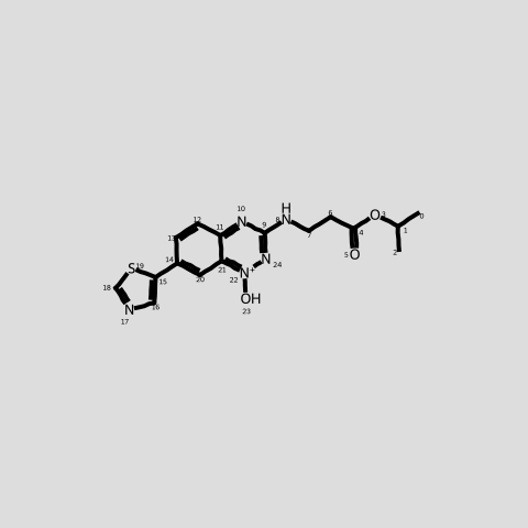 CC(C)OC(=O)CCNc1nc2ccc(-c3cncs3)cc2[n+](O)n1